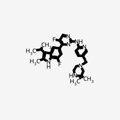 Cc1[nH]c2c(F)cc(-c3nc(Nc4ccc(CN5CCNC(C)(C)C5)cn4)ncc3F)cc2c1C(C)C